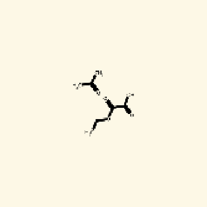 CC(C)=O.CCOC(=O)C(=O)O